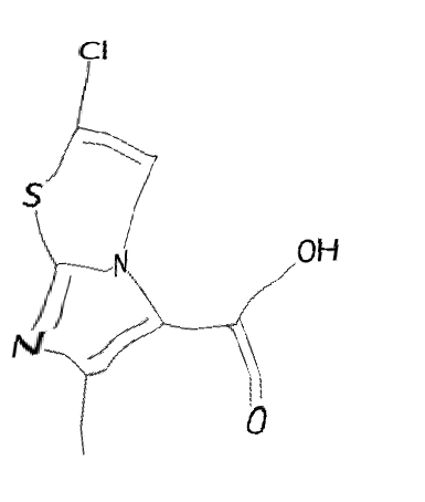 Cc1nc2sc(Cl)cn2c1C(=O)O